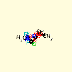 C=CCOC(=O)C(C)Oc1ccc(Oc2cc(-n3nc(C)n(C(F)F)c3=O)c(F)cc2Cl)cn1